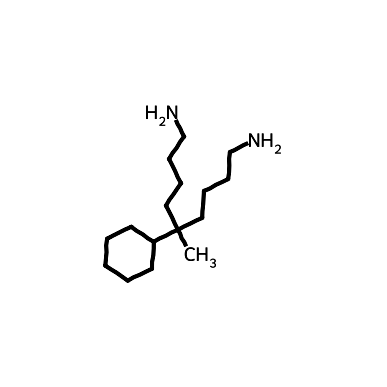 CC(CCCCN)(CCCCN)C1CCCCC1